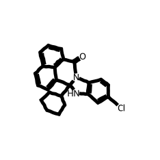 O=C1c2cccc3cccc(c23)C2(C3CCCCC3)Nc3cc(Cl)ccc3N12